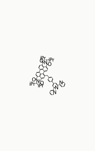 CC(C)C(C(C)C)N1C(=O)c2ccc3c4ccc5c6c(cc(Cc7ccc(-c8cc(-c9ccccn9)nc(-c9ccccn9)c8)cc7)c(c7ccc(c2c37)C1=O)c64)C(=O)N(C(C(C)C)C(C)C)C5=O